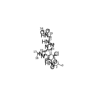 CCCS(=O)(=O)Nc1cc(Cl)cc(-c2nn(C(C)C)cc2-c2ccnc(NCC(C)NC(=O)OC)n2)c1F